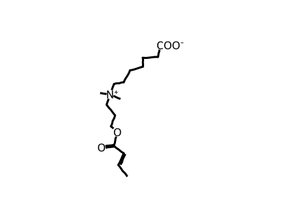 CC=CC(=O)OCCC[N+](C)(C)CCCCCCC(=O)[O-]